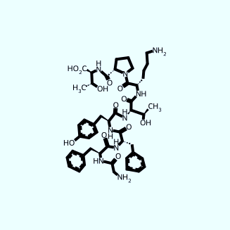 C[C@@H](O)[C@H](NC(=O)[C@@H]1CCCN1C(=O)[C@H](CCCCN)NC(=O)[C@@H](NC(=O)[C@H](Cc1ccc(O)cc1)NC(=O)[C@H](Cc1ccccc1)NC(=O)[C@H](Cc1ccccc1)NC(=O)CN)[C@@H](C)O)C(=O)O